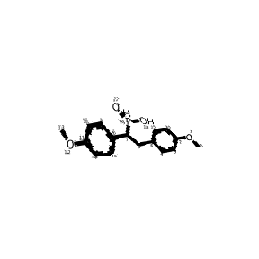 COc1ccc(CC(c2ccc(OC)cc2)[PH](=O)O)cc1